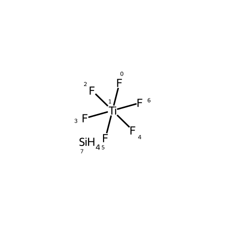 [F][Ti]([F])([F])([F])([F])[F].[SiH4]